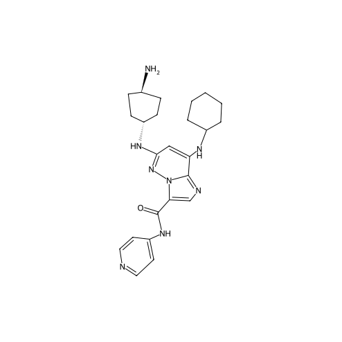 N[C@H]1CC[C@H](Nc2cc(NC3CCCCC3)c3ncc(C(=O)Nc4ccncc4)n3n2)CC1